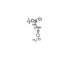 CC(=O)C1CCC(N2CC(NC(=O)CNc3nn(Cc4ccccc4)c4ccc(C(F)(F)F)cc34)C2)CC1